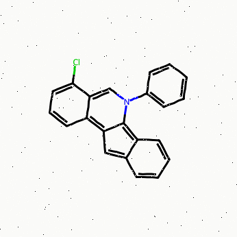 Clc1cccc2c3cc4ccccc4c-3n(-c3ccccc3)cc12